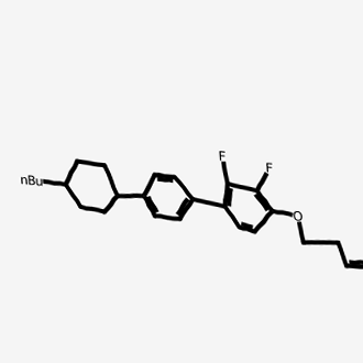 C=CCCOc1ccc(-c2ccc(C3CCC(CCCC)CC3)cc2)c(F)c1F